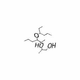 CC(O)CO.CCCC(CC)OC(CC)CCC